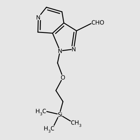 C[Si](C)(C)CCOCn1nc(C=O)c2ccncc21